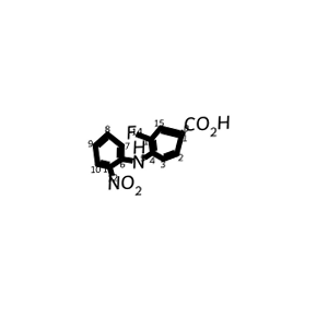 O=C(O)c1ccc(Nc2ccccc2[N+](=O)[O-])c(F)c1